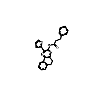 O=C(CCc1ccccc1)Nc1nc2c(nc1-c1cccs1)-c1ccccc1CC2